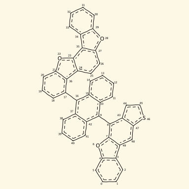 c1ccc2c(c1)oc1c(-c3c4ccccc4c(-c4cccc5oc6c(ccc7oc8ccccc8c76)c45)c4ccccc34)c3ccsc3cc12